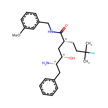 COc1cccc(CNC(=O)[C@H](CCC(C)(C)F)C[C@H](O)[C@@H](N)Cc2ccccc2)c1